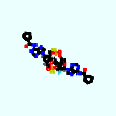 CC(C)(C)[Si](C)(C)O[C@H]1[C@H]2OP(=O)(S)OC[C@H]3O[C@@H](n4cnc5c(NC(=O)c6ccccc6)ncnc54)[C@H](F)[C@@H]3OP(=O)(S)O[C@H]1C[C@H]2n1cnc2c(NC(=O)c3ccccc3)ncnc21